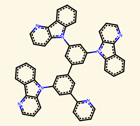 c1ccc(-c2cc(-c3cc(-n4c5ccccc5c5ncccc54)cc(-n4c5ccccc5c5ncccc54)c3)cc(-n3c4ccccc4c4ncccc43)c2)nc1